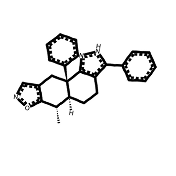 C[C@@H]1c2oncc2C[C@]2(c3ccccc3)c3n[nH]c(-c4[c]cccc4)c3CC[C@@H]12